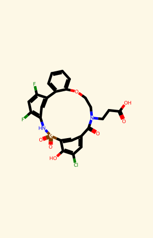 O=C(O)CCN1CCOc2ccccc2-c2cc(c(F)cc2F)NS(=O)(=O)c2cc(cc(Cl)c2O)C1=O